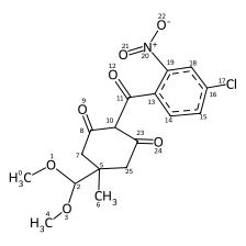 COC(OC)C1(C)CC(=O)C(C(=O)c2ccc(Cl)cc2[N+](=O)[O-])C(=O)C1